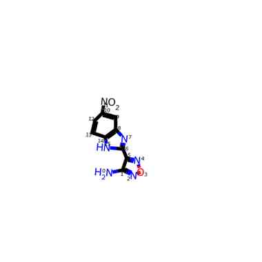 Nc1nonc1-c1nc2cc([N+](=O)[O-])ccc2[nH]1